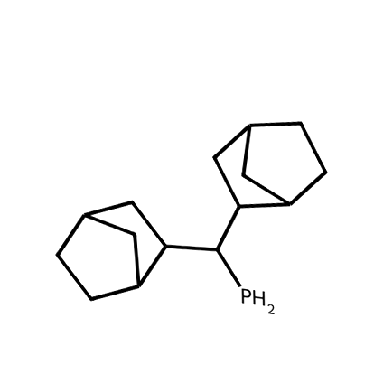 PC(C1CC2CCC1C2)C1CC2CCC1C2